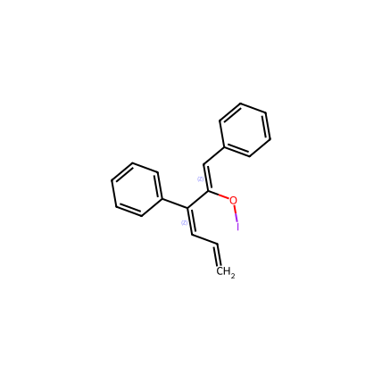 C=C/C=C(\C(=C\c1ccccc1)OI)c1ccccc1